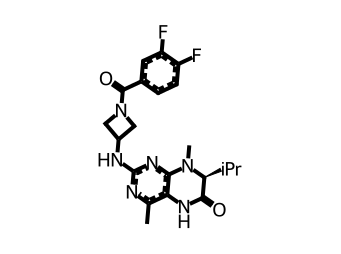 Cc1nc(NC2CN(C(=O)c3ccc(F)c(F)c3)C2)nc2c1NC(=O)[C@H](C(C)C)N2C